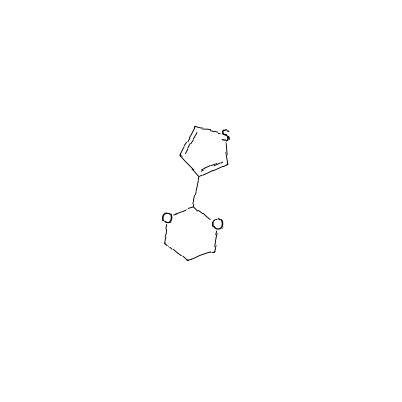 c1cc(C2OCCCO2)cs1